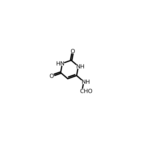 O=CNc1cc(=O)[nH]c(=O)[nH]1